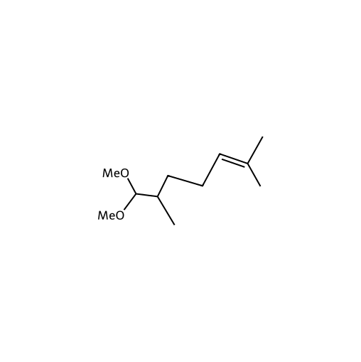 COC(OC)C(C)CCC=C(C)C